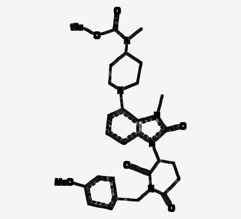 COc1ccc(CN2C(=O)CCC(n3c(=O)n(C)c4c(N5CCC(N(C)C(=O)OC(C)(C)C)CC5)cccc43)C2=O)cc1